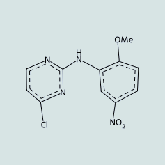 COc1ccc([N+](=O)[O-])cc1Nc1nccc(Cl)n1